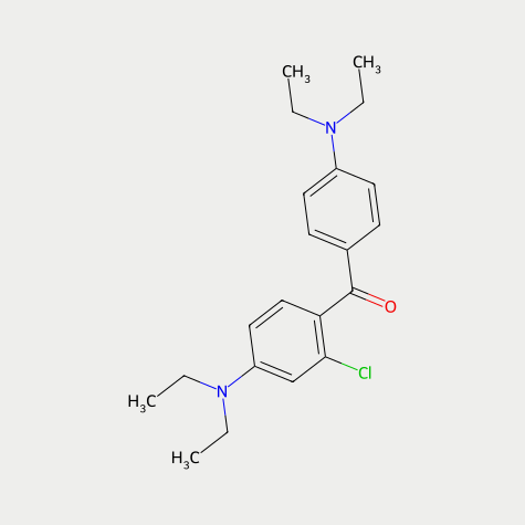 CCN(CC)c1ccc(C(=O)c2ccc(N(CC)CC)cc2Cl)cc1